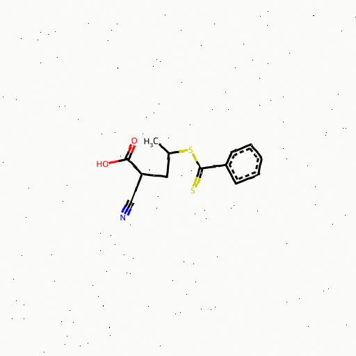 CC(CC(C#N)C(=O)O)SC(=S)c1ccccc1